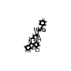 O=C(C=C1CN=C(c2ccccc2F)c2cc(Cl)ccc2N1)OCNC(=O)c1ccccc1